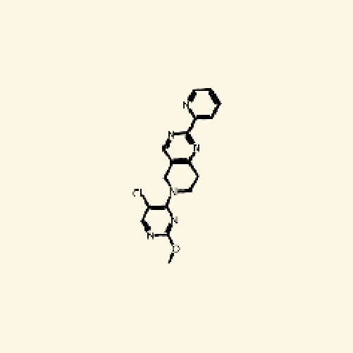 COc1ncc(Cl)c(N2CCc3nc(-c4ccccn4)ncc3C2)n1